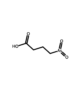 O=C(O)CCC[As](=O)=O